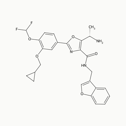 C[C@H](N)c1oc(-c2ccc(OC(F)F)c(OCC3CC3)c2)nc1C(=O)NCc1coc2ccccc12